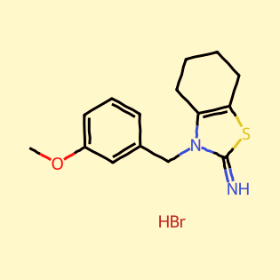 Br.COc1cccc(Cn2c3c(sc2=N)CCCC3)c1